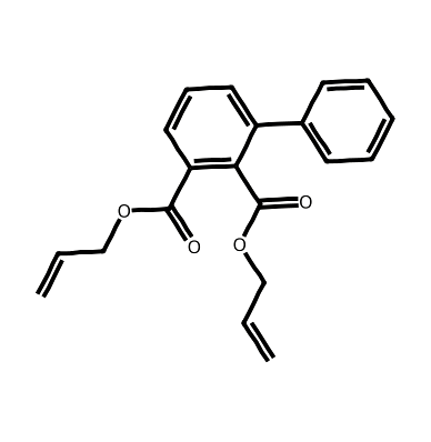 C=CCOC(=O)c1cccc(-c2ccccc2)c1C(=O)OCC=C